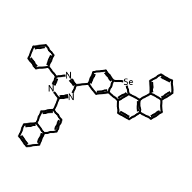 c1ccc(-c2nc(-c3ccc4ccccc4c3)nc(-c3ccc4[se]c5c(ccc6ccc7ccccc7c65)c4c3)n2)cc1